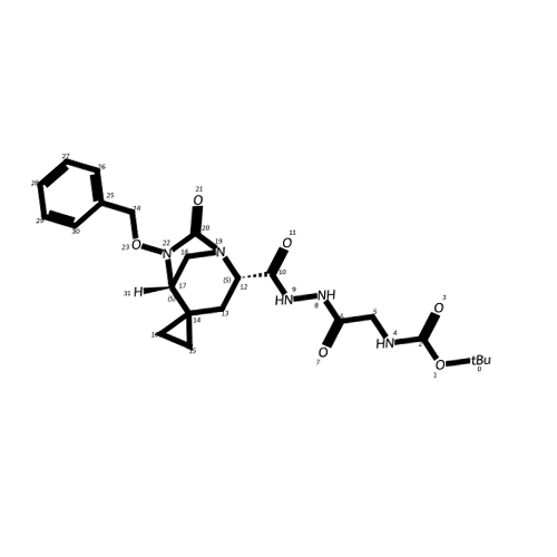 CC(C)(C)OC(=O)NCC(=O)NNC(=O)[C@@H]1CC2(CC2)[C@H]2CN1C(=O)N2OCc1ccccc1